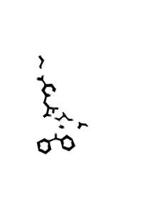 C=CCOC(=O)c1ccnc(/C=C2/C(=O)N3C2S[C@@](C)(COC(=O)CCl)[C@@H]3C(=O)OC(c2ccccc2)c2ccccc2)c1